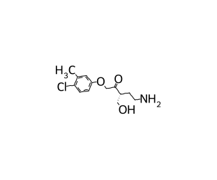 Cc1cc(OCC(=O)[C@@H](CO)CCN)ccc1Cl